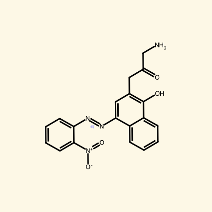 NCC(=O)Cc1cc(/N=N/c2ccccc2[N+](=O)[O-])c2ccccc2c1O